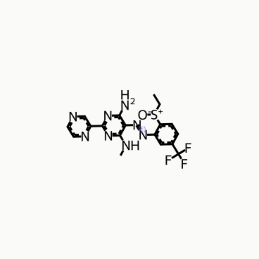 CC[S+]([O-])c1ccc(C(F)(F)F)cc1/N=N/c1c(N)nc(-c2cnccn2)nc1NC